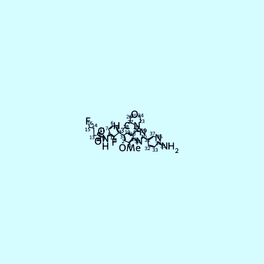 COc1cc(-c2cccc(NS(=O)(=O)CCCF)c2F)cc2c(N3CCOCC3C)nc(-c3ccc(N)nc3)nc12